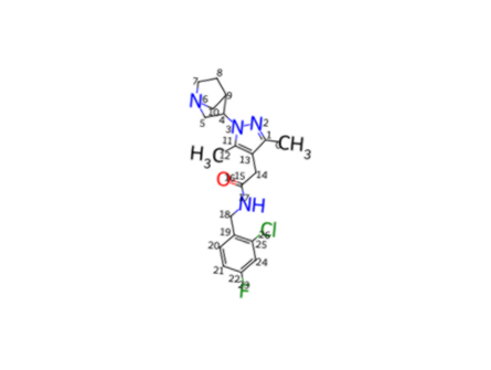 Cc1nn(C2CN3CCC2C3)c(C)c1CC(=O)NCc1ccc(F)cc1Cl